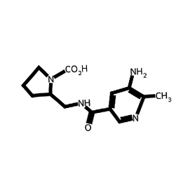 Cc1ncc(C(=O)NCC2CCCN2C(=O)O)cc1N